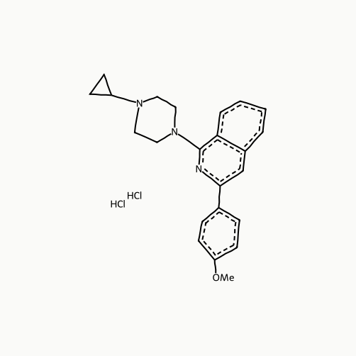 COc1ccc(-c2cc3ccccc3c(N3CCN(C4CC4)CC3)n2)cc1.Cl.Cl